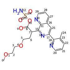 COCCOCCC(C(=O)OS(N)(=O)=O)c1nc(-c2ncccc2C)cc2cccnc12